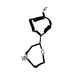 Fc1ccc(C2CNCCO2)cc1